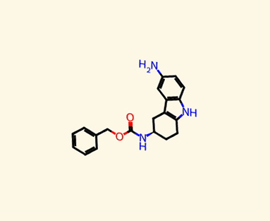 Nc1ccc2[nH]c3c(c2c1)C[C@H](NC(=O)OCc1ccccc1)CC3